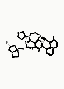 C#Cc1c(F)ccc2cccc(-c3nc4c5c(nc(OC[C@@]67CCCN6C[C@H](F)C7)nc5c3F)N([C@H]3CCNC3)CCO4)c12